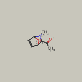 CC(=O)C1C2C=CC(O2)N1C